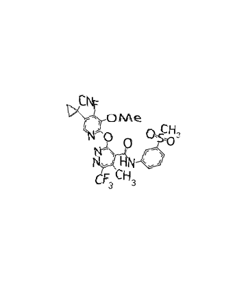 COc1c(Oc2nnc(C(F)(F)F)c(C)c2C(=O)Nc2cccc(S(C)(=O)=O)c2)ncc(C2(C#N)CC2)c1F